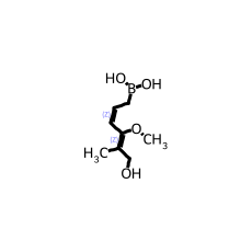 COC(/C=C\CB(O)O)=C(/C)CO